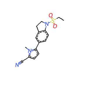 CCS(=O)(=O)N1CCc2cc(-c3ccc(C#N)n3C)ccc21